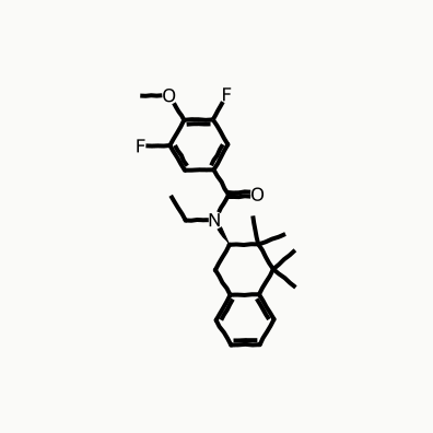 CCN(C(=O)c1cc(F)c(OC)c(F)c1)[C@@H]1Cc2ccccc2C(C)(C)C1(C)C